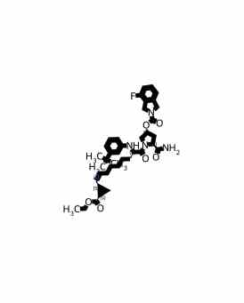 CCOC(=O)[C@H]1C[C@H]1/C=C\CCCCC[C@H](Nc1cccc(C(C)(C)C)c1)C(=O)N1C[C@H](OC(=O)N2Cc3cccc(F)c3C2)C[C@H]1C(N)=O